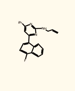 C=CCNc1nc(-c2ccc(F)c3ccccc23)cc(C(C)C)n1